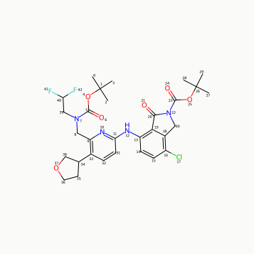 CC(C)(C)OC(=O)N(Cc1nc(Nc2ccc(Cl)c3c2C(=O)N(C(=O)OC(C)(C)C)C3)ccc1C1CCOC1)CC(F)F